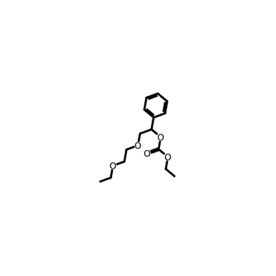 CCOCCOCC(OC(=O)OCC)c1ccccc1